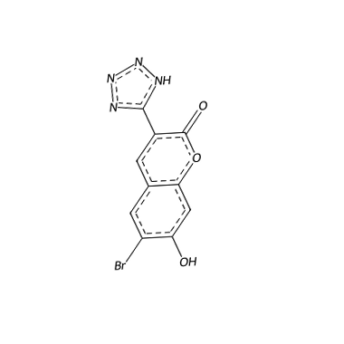 O=c1oc2cc(O)c(Br)cc2cc1-c1nnn[nH]1